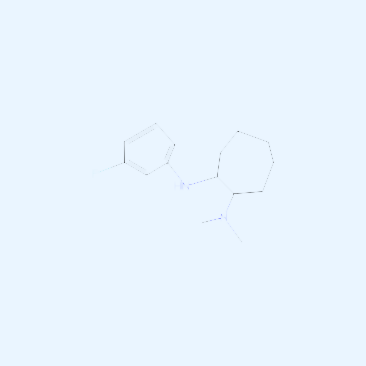 CN(C)C1CCCCCC1Nc1cccc(F)c1